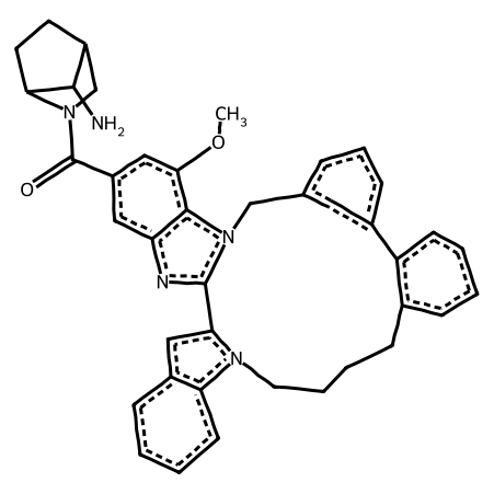 COc1cc(C(=O)N2CC3CCC2C3N)cc2nc3n(c12)Cc1cccc(c1)-c1ccccc1CCCCn1c-3cc2ccccc21